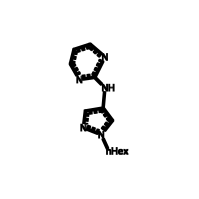 CCCCCCn1cc(Nc2ncccn2)cn1